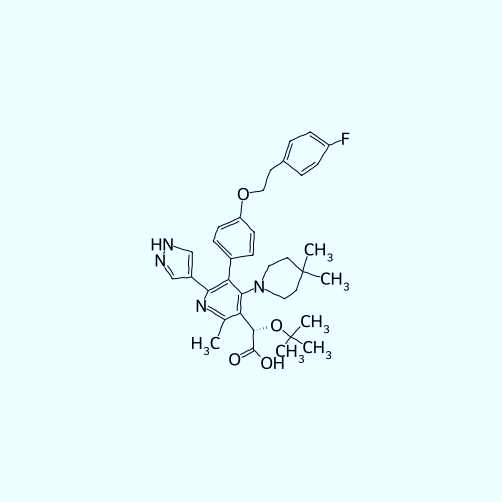 Cc1nc(-c2cn[nH]c2)c(-c2ccc(OCCc3ccc(F)cc3)cc2)c(N2CCC(C)(C)CC2)c1[C@H](OC(C)(C)C)C(=O)O